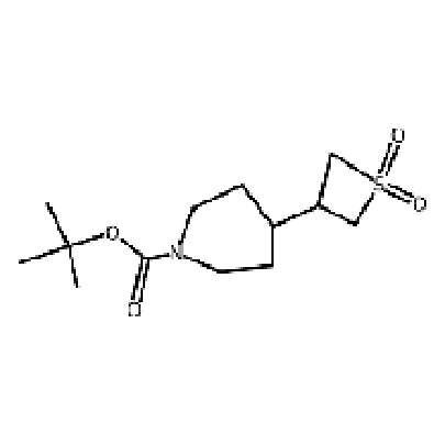 CC(C)(C)OC(=O)N1CCC(C2CS(=O)(=O)C2)CC1